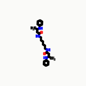 C/C(=C/C(=O)NCCCCCCNC(=O)/C=C(/C)Nc1ccccc1)Nc1ccccc1